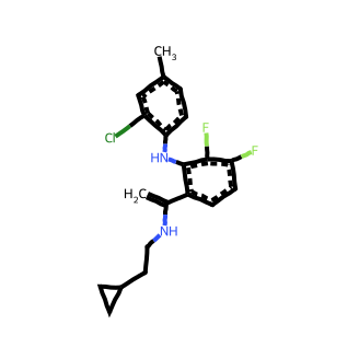 C=C(NCCC1CC1)c1ccc(F)c(F)c1Nc1ccc(C)cc1Cl